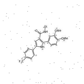 CCNC(=O)c1cc(-c2ccc(C(F)(F)F)cc2)[nH]c1-c1ccc(OC)c(OC)c1